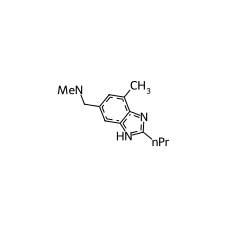 CCCc1nc2c(C)cc(CNC)cc2[nH]1